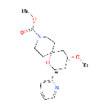 CCO[C@@H]1C[C@H](c2ccccn2)OC2(CCN(C(=O)OC(C)(C)C)CC2)C1